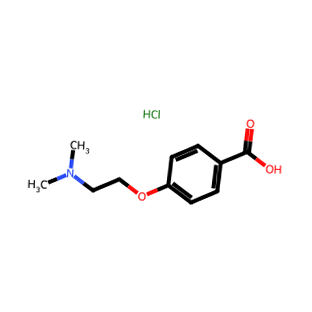 CN(C)CCOc1ccc(C(=O)O)cc1.Cl